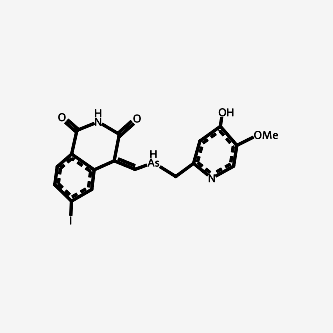 COc1cnc(C[AsH]C=C2C(=O)NC(=O)c3ccc(I)cc32)cc1O